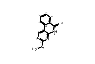 CSc1ncc2c(n1)[nH]c(=O)c1ccccc12